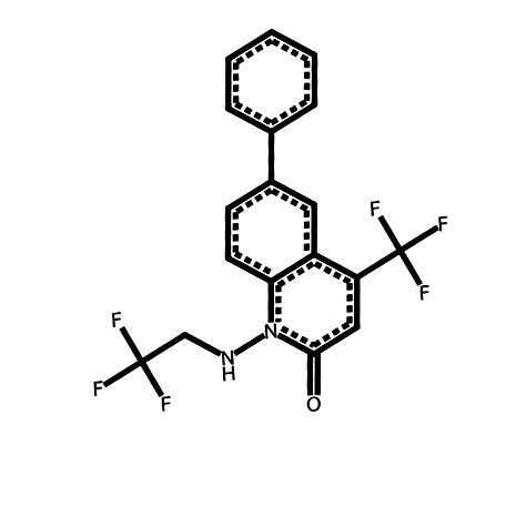 O=c1cc(C(F)(F)F)c2cc(-c3ccccc3)ccc2n1NCC(F)(F)F